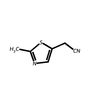 Cc1ncc(CC#N)s1